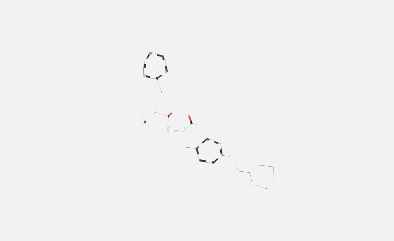 CC(C)(C)[C@H](OCc1ccccc1)C(=O)N[C@@H](Cc1ccc(OCC2CCCCC2)cc1)C(=O)O